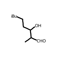 CCC(C)CCC(O)C(C)C=O